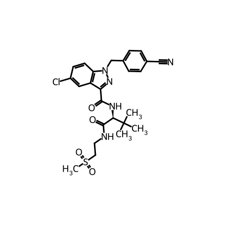 CC(C)(C)[C@H](NC(=O)c1nn(Cc2ccc(C#N)cc2)c2ccc(Cl)cc12)C(=O)NCCS(C)(=O)=O